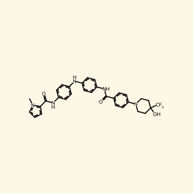 Cn1cccc1C(=O)Nc1ccc(Nc2ccc(NC(=O)c3ccc(N4CCC(O)(C(F)(F)F)CC4)cc3)cc2)cc1